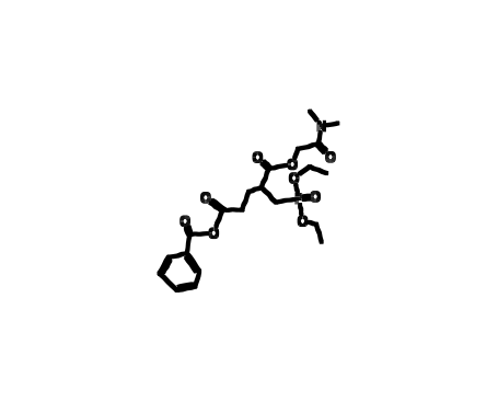 CCOP(=O)(CC(CCC(=O)OC(=O)c1ccccc1)C(=O)OCC(=O)N(C)C)OCC